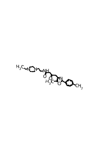 CCN1CCN(CCNC(=O)CC(=O)Cc2nc(-c3ccc(C)cc3)oc2C)CC1